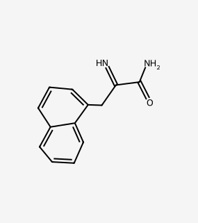 N=C(Cc1cccc2ccccc12)C(N)=O